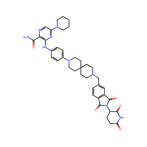 NC(=O)c1ncc(N2CCCCC2)nc1Nc1ccc(N2CCC3(CCN(Cc4ccc5c(c4)C(=O)N(C4CCC(=O)NC4=O)C5=O)CC3)CC2)cc1